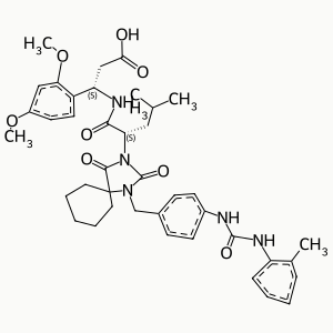 COc1ccc([C@H](CC(=O)O)NC(=O)[C@H](CC(C)C)N2C(=O)N(Cc3ccc(NC(=O)Nc4ccccc4C)cc3)C3(CCCCC3)C2=O)c(OC)c1